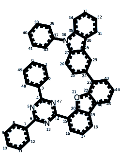 c1ccc(-c2nc(-c3ccccc3)nc(-c3cccc4c3oc3c(-c5ccc6c(c5)c5ccccc5n6-c5ccccc5)cccc34)n2)cc1